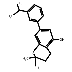 CC(C)c1cccc(-c2cc(O)c3c(c2)OC(C)(C)CC3)c1